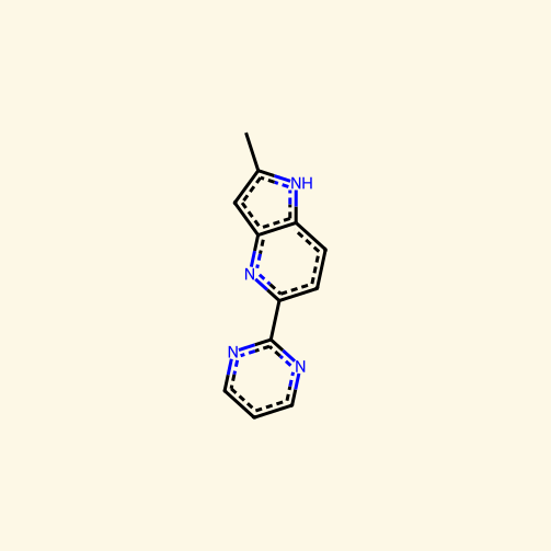 Cc1cc2nc(-c3ncccn3)ccc2[nH]1